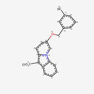 CCOC(=O)c1c2ccccc2n2cc(OCc3cccc(C#N)c3)ccc12